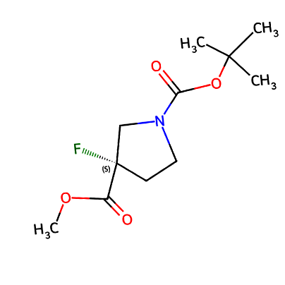 COC(=O)[C@]1(F)CCN(C(=O)OC(C)(C)C)C1